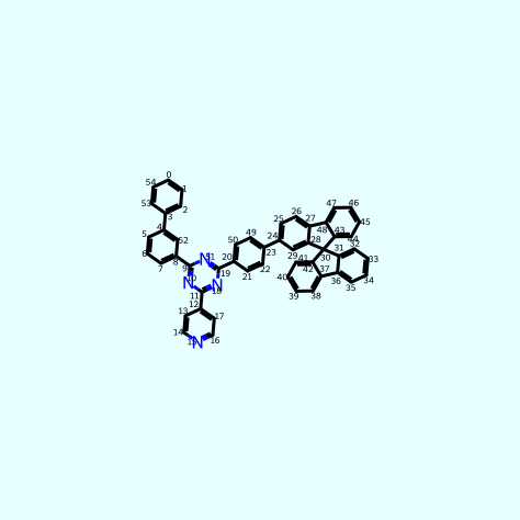 c1ccc(-c2cccc(-c3nc(-c4ccncc4)nc(-c4ccc(-c5ccc6c(c5)C5(c7ccccc7-c7ccccc75)c5ccccc5-6)cc4)n3)c2)cc1